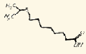 CC(C)SCCCCCCCC(=O)O